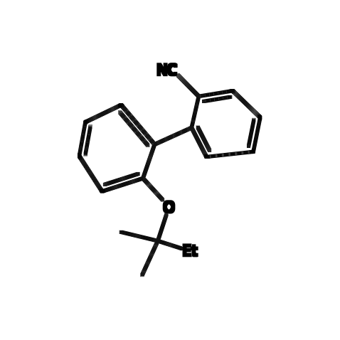 CCC(C)(C)Oc1ccccc1-c1ccccc1C#N